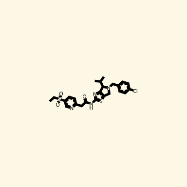 CCS(=O)(=O)c1ccc(CC(=O)Nc2nc3c(s2)CN(Cc2ccc(Cl)cc2)C3C(C)C)nc1